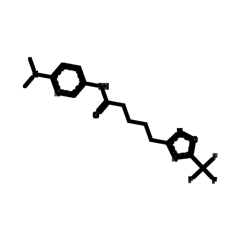 CN(C)c1ccc(NC(=O)CCCCc2noc(C(F)(F)F)n2)cn1